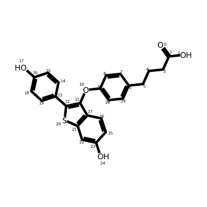 O=C(O)CCCc1ccc(Oc2c(-c3ccc(O)cc3)sc3cc(O)ccc23)cc1